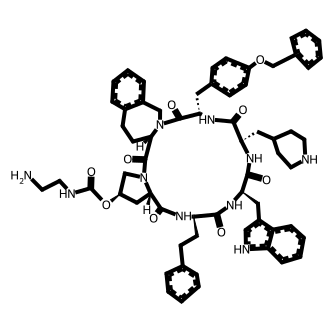 NCCNC(=O)O[C@@H]1C[C@H]2C(=O)N[C@H](CCc3ccccc3)C(=O)N[C@H](Cc3c[nH]c4ccccc34)C(=O)N[C@@H](CC3CCNCC3)C(=O)N[C@@H](Cc3ccc(OCc4ccccc4)cc3)C(=O)N3Cc4ccccc4CC[C@H]3C(=O)N2C1